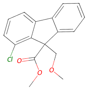 COCC1(C(=O)OC)c2ccccc2-c2cccc(Cl)c21